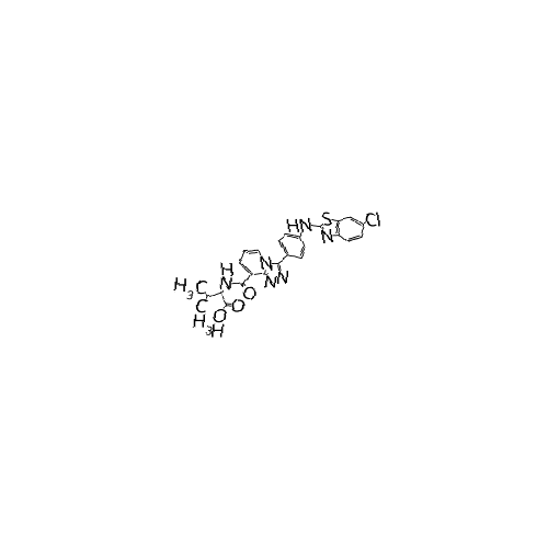 CC(C)C(NC(=O)c1cccn2c(-c3ccc(Nc4nc5ccc(Cl)cc5s4)cc3)nnc12)C(=O)O